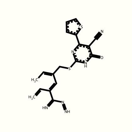 C=C/C(=C\C(=C/C)CSc1nc(-c2cccs2)c(C#N)c(=O)[nH]1)C(=N)N=N